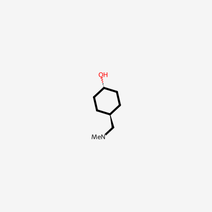 CNC[C@H]1CC[C@H](O)CC1